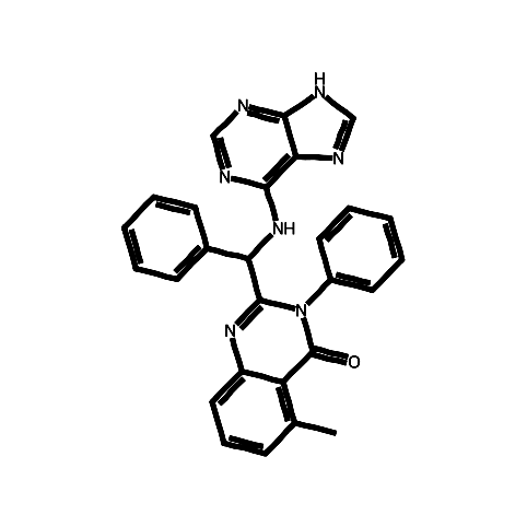 Cc1cccc2nc(C(Nc3ncnc4[nH]cnc34)c3ccccc3)n(-c3ccccc3)c(=O)c12